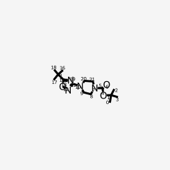 CC(C)(C)OC(=O)N1CCN(c2noc(C(C)(C)C)n2)CC1